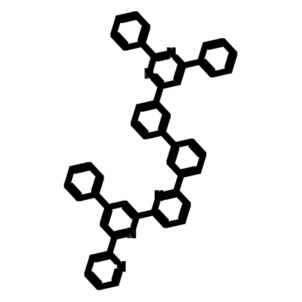 c1ccc(-c2cc(-c3ccccn3)nc(-c3cccc(-c4cccc(-c5cccc(-c6cc(-c7ccccc7)nc(-c7ccccc7)n6)c5)c4)n3)c2)cc1